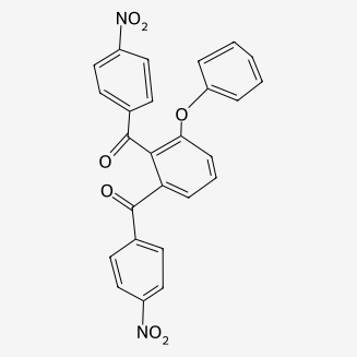 O=C(c1ccc([N+](=O)[O-])cc1)c1cccc(Oc2ccccc2)c1C(=O)c1ccc([N+](=O)[O-])cc1